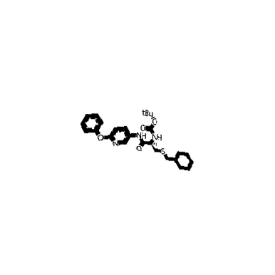 CC(C)(C)OC(=O)N[C@@H](CSCC1CCCCC1)C(=O)Nc1ccc(Oc2ccccc2)nc1